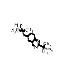 CC(C)(C)CC1CCc2nc(C(C)(C)C)ncc2C1